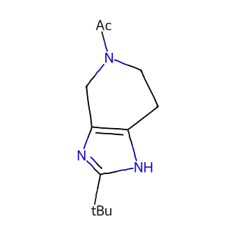 CC(=O)N1CCc2[nH]c(C(C)(C)C)nc2C1